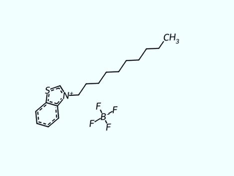 CCCCCCCCCC[n+]1csc2ccccc21.F[B-](F)(F)F